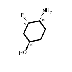 N[C@@H]1CC[C@@H](O)C[C@@H]1F